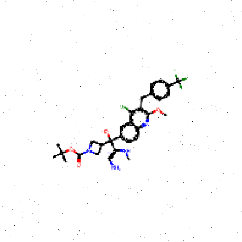 CN/C(=C\N)C(O)(c1ccc2nc(OC)c(Cc3ccc(C(F)(F)F)cc3)c(Cl)c2c1)C1CN(C(=O)OC(C)(C)C)C1